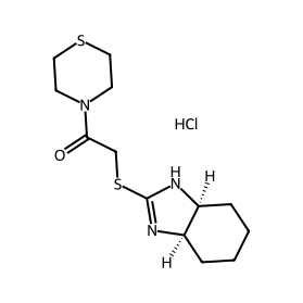 Cl.O=C(CSC1=N[C@@H]2CCCC[C@@H]2N1)N1CCSCC1